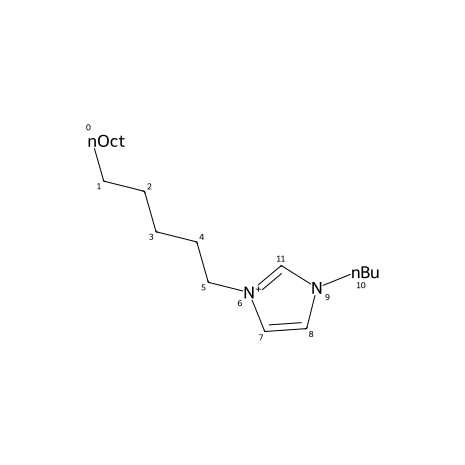 CCCCCCCCCCCCC[n+]1ccn(CCCC)c1